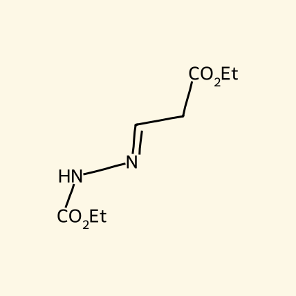 CCOC(=O)CC=NNC(=O)OCC